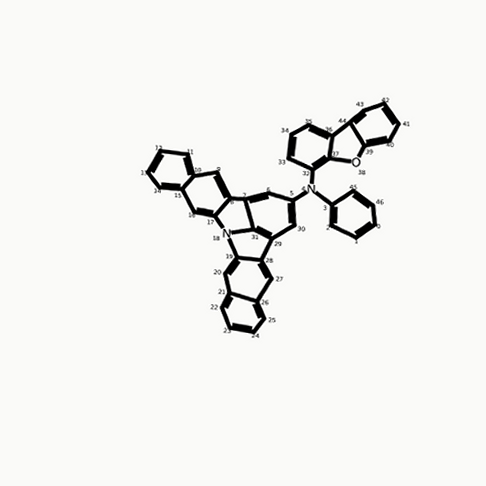 c1ccc(N(c2cc3c4cc5ccccc5cc4n4c5cc6ccccc6cc5c(c2)c34)c2cccc3c2oc2ccccc23)cc1